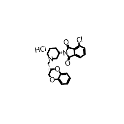 Cl.O=C1c2cccc(Cl)c2C(=O)N1[C@H]1CCCN(C[C@H]2COc3ccccc3O2)C1